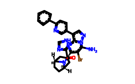 Nc1c(Br)c([C@@H]2C[C@H]3CC[C@@H](C2)N3C(=O)c2nc[nH]n2)nc2c(-c3ccc(-c4ccccc4)nc3)cnn12